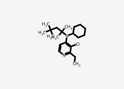 CCc1nccc(N(C2CCCCC2)C(C)(C)CC(C)(C)C)c1Cl